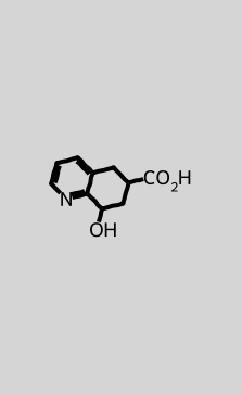 O=C(O)C1Cc2cccnc2C(O)C1